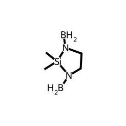 BN1CCN(B)[Si]1(C)C